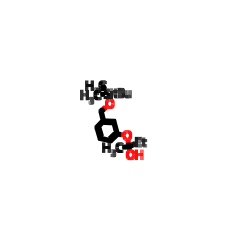 CCC(C)(O)Oc1cccc(CO[Si](C)(C)C(C)(C)C)c1